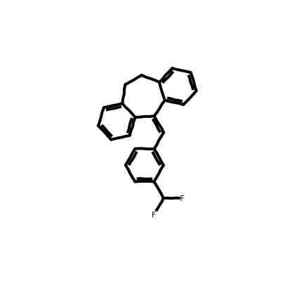 FC(F)c1cccc(C=C2c3ccccc3CCc3ccccc32)c1